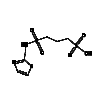 O=S(=O)(O)CCCS(=O)(=O)Nc1nccs1